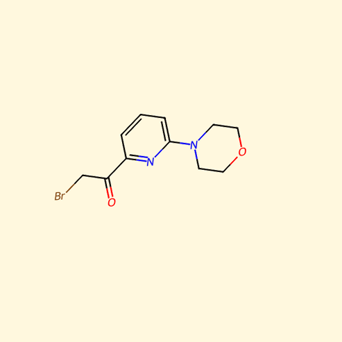 O=C(CBr)c1cccc(N2CCOCC2)n1